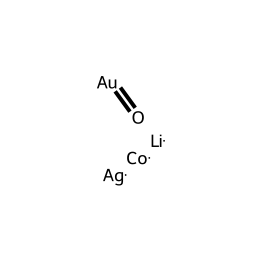 [Ag].[Co].[Li].[O]=[Au]